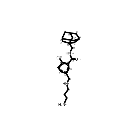 NCCCNCc1ccc(Cl)c(C(=O)NCC23CC4CC(CC(C4)C2)C3)c1